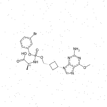 COc1nc(N)nc2c1ncn2[C@H]1C[C@@H](COP(=O)(N[C@@H](C)C(=O)O)Oc2cccc(Br)c2)C1